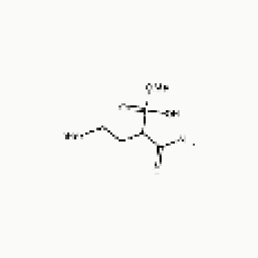 CCCCCCCCC(C(N)=O)P(=O)(O)OC